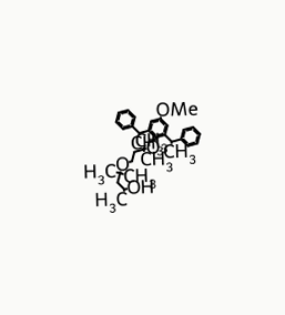 COc1cc(C(C)c2ccccc2)c(OC(C)(C)CCOC(C)(C)CC(C)O)c(C(C)c2ccccc2)c1